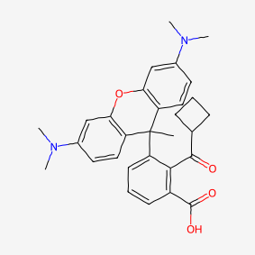 CN(C)c1ccc2c(c1)Oc1cc(N(C)C)ccc1C2(C)c1cccc(C(=O)O)c1C(=O)C1CCC1